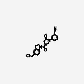 N#Cc1cccc(N2C[C@@H](C(=O)N3CCc4cc(CCl)ccc43)CC2=O)c1